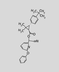 CC(C)(C)c1ccc([C@@H]2[C@@H](C(=O)OC(C#N)c3cccc(Oc4ccccc4)n3)C2(C)C)cc1